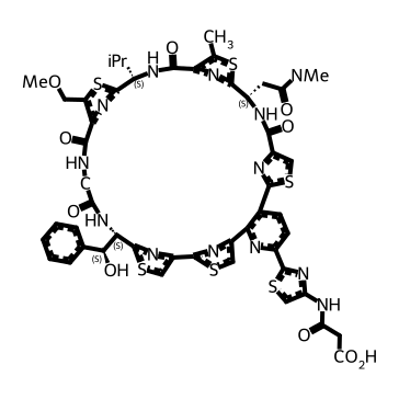 CNC(=O)C[C@@H]1NC(=O)c2csc(n2)-c2ccc(-c3nc(NC(=O)CC(=O)O)cs3)nc2-c2csc(n2)-c2csc(n2)[C@H]([C@@H](O)c2ccccc2)NC(=O)CNC(=O)c2nc(sc2COC)[C@H](C(C)C)NC(=O)c2nc1sc2C